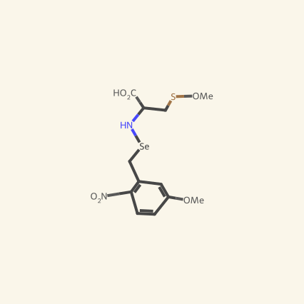 COSCC(N[Se]Cc1cc(OC)ccc1[N+](=O)[O-])C(=O)O